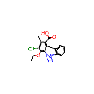 CCOc1c(Cl)c(C)c(C(=O)O)c2c1[nH]c1ccccc12